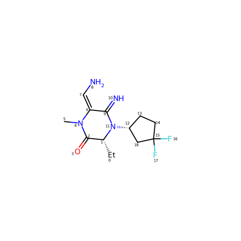 CC[C@@H]1C(=O)N(C)/C(=C/N)C(=N)N1[C@@H]1CCC(F)(F)C1